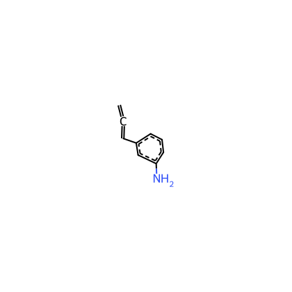 C=C=Cc1cccc(N)c1